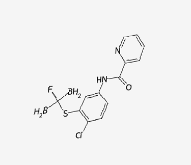 BC(B)(F)Sc1cc(NC(=O)c2ccccn2)ccc1Cl